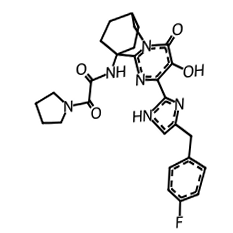 O=C(NC12CCC(CC1)Cn1c2nc(-c2nc(Cc3ccc(F)cc3)c[nH]2)c(O)c1=O)C(=O)N1CCCC1